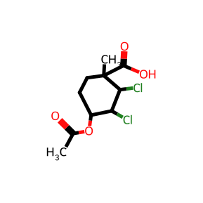 CC(=O)OC1CCC(C)(C(=O)O)C(Cl)C1Cl